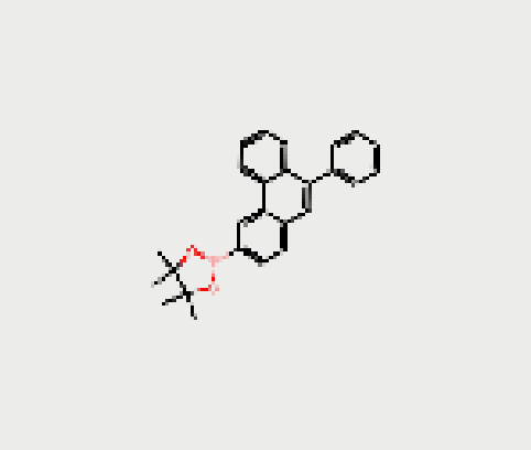 CC1(C)OB(c2ccc3cc(-c4ccccc4)c4ccccc4c3c2)OC1(C)C